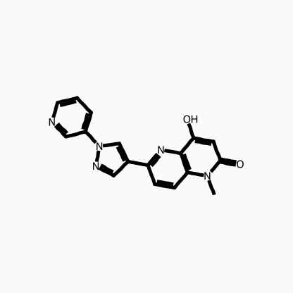 Cn1c(=O)cc(O)c2nc(-c3cnn(-c4cccnc4)c3)ccc21